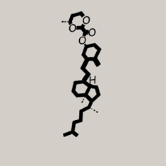 C=C1CC[C@H](OC(=O)C2OCC[C@@H](C)O2)C/C1=C/C=C1\CCC[C@]2(C)C([C@H](C)CCCC(C)C)CC[C@@H]12